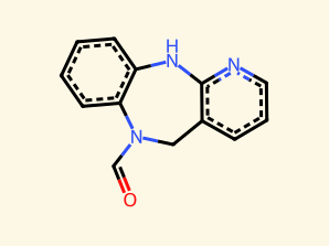 O=CN1Cc2cccnc2Nc2ccccc21